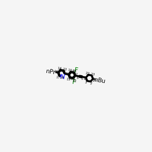 CCCCC1CCC(C#Cc2c(F)cc(-c3ccc(CCC)cn3)cc2F)CC1